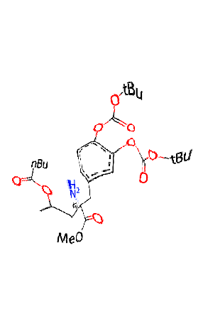 CCCCC(=O)OC(C)C[C@@](N)(Cc1ccc(OC(=O)OC(C)(C)C)c(OC(=O)OC(C)(C)C)c1)C(=O)OC